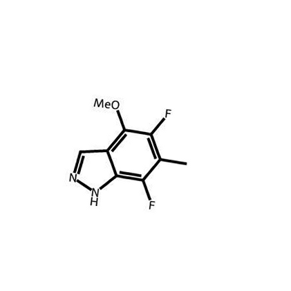 COc1c(F)c(C)c(F)c2[nH]ncc12